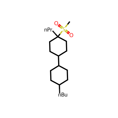 CCCCC1CCC(C2CCC(CCC)(S(C)(=O)=O)CC2)CC1